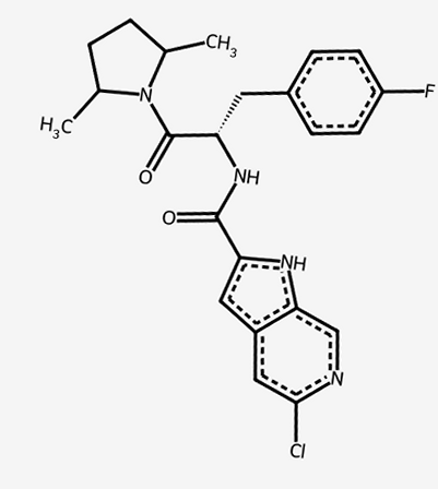 CC1CCC(C)N1C(=O)[C@H](Cc1ccc(F)cc1)NC(=O)c1cc2cc(Cl)ncc2[nH]1